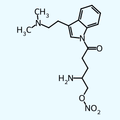 CN(C)CCc1cn(C(=O)CCC(N)CO[N+](=O)[O-])c2ccccc12